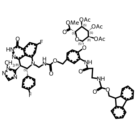 COC(=O)[C@H]1O[C@@H](Oc2ccc(COC(=O)NCN3c4cc(F)cc5c(=O)[nH]nc(c45)[C@H](c4ncnn4C)[C@H]3c3ccc(F)cc3)cc2NC(=O)CCNC(=O)OCC2c3ccccc3-c3ccccc32)[C@H](OC(C)=O)[C@@H](OC(C)=O)[C@@H]1OC(C)=O